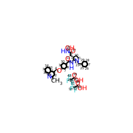 Cc1cc(COc2ccc(C(=O)NC3[C@@H](CC(=O)NO)CCN3Cc3ccccc3)cc2)c2ccccc2n1.O=C(O)C(F)(F)F.O=C(O)C(F)(F)F